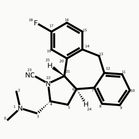 CN(C)C[C@H]1C[C@@H]2c3ccccc3Cc3ccc(F)cc3[C@H]2N1C#N